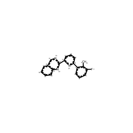 Cc1c(F)cccc1-c1cccc(-c2ncc3ccccc3n2)n1